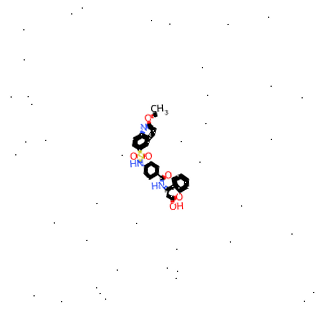 CCOc1ccc2cc(S(=O)(=O)N[C@H]3CC[C@H](C(=O)N[C@H](CC(=O)O)c4ccccc4)CC3)ccc2n1